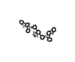 c1cc(-c2ccc(-c3cccc(-n4c5ccccc5c5c6sc7ccccc7c6ccc54)c3)c3nccnc23)cc(-n2c3ccccc3c3c4sc5ccccc5c4ccc32)c1